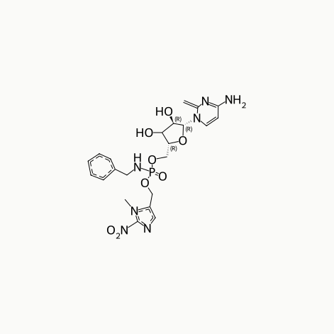 C=C1N=C(N)C=CN1[C@@H]1O[C@H](COP(=O)(NCc2ccccc2)OCc2cnc([N+](=O)[O-])n2C)C(O)[C@H]1O